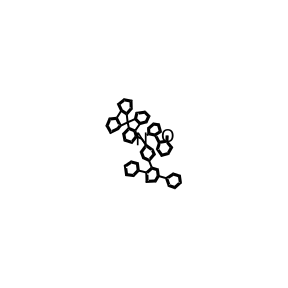 c1ccc(-c2ccc(-c3ccccc3)c(-c3ccc(N(c4cccc5c4-c4ccccc4C54c5ccccc5-c5ccccc54)c4cccc5oc6ccccc6c45)cc3)c2)cc1